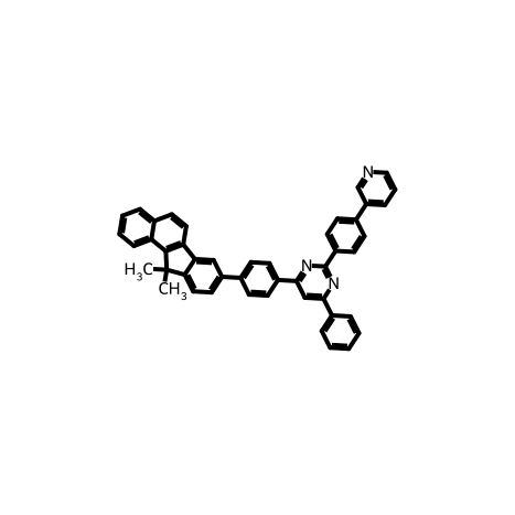 CC1(C)c2ccc(-c3ccc(-c4cc(-c5ccccc5)nc(-c5ccc(-c6cccnc6)cc5)n4)cc3)cc2-c2ccc3ccccc3c21